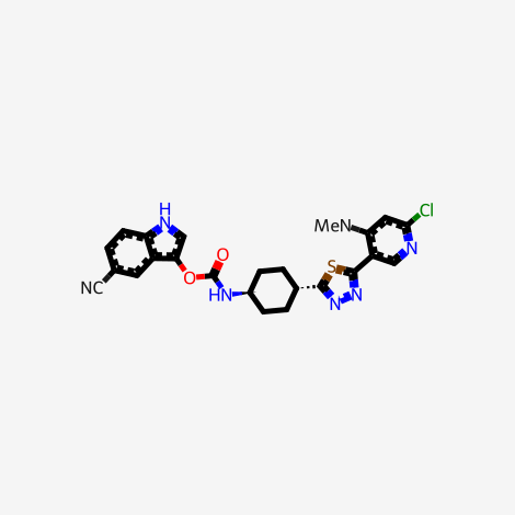 CNc1cc(Cl)ncc1-c1nnc([C@H]2CC[C@H](NC(=O)Oc3c[nH]c4ccc(C#N)cc34)CC2)s1